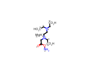 NOC(=O)CN(CCN(CC(=O)O)CC(=O)O)CC(=O)O.[MgH2]